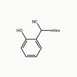 CCCCCCC(C#N)c1ccccc1O